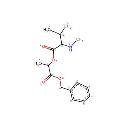 CNC(C(=O)OC(C)C(=O)OCc1ccccc1)C(C)C